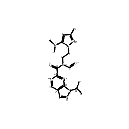 Cc1cc(N(C)C)n(CCN(C=O)C(=O)c2ncc3cnn(C(C)C)c3n2)n1